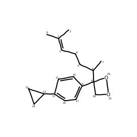 CC(C)=CCCC(C)C1(c2ccc(C3CC3)cc2)COO1